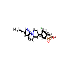 CCc1cnc(N2CCC(c3ccc(C[SH](=O)=O)[c]c3F)CC2)c(C)c1